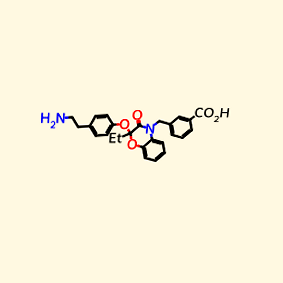 CCC1(Oc2ccc(CCN)cc2)Oc2ccccc2N(Cc2cccc(C(=O)O)c2)C1=O